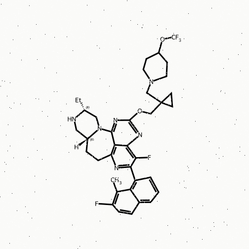 CC[C@@H]1CN2c3nc(OCC4(CN5CCC(OC(F)(F)F)CC5)CC4)nc4c(F)c(-c5cccc6ccc(F)c(C)c56)nc(c34)CC[C@@H]2CN1